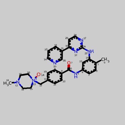 Cc1ccc(NC(=O)c2ccc(C[N+]3([O-])CCN(C)CC3)cc2)cc1Nc1nccc(-c2cccnc2)n1